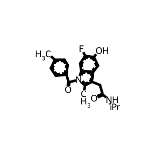 Cc1ccc(C(=O)n2c(C)c(CC(=O)NC(C)C)c3cc(O)c(F)cc32)cc1